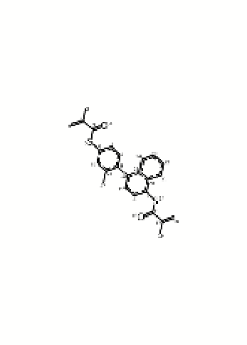 C=C(C)C(=O)Sc1ccc(-c2ccc(SC(=O)C(=C)C)c3ccccc23)c(C)c1